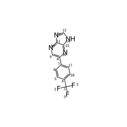 FC(F)(F)c1ccc(-c2cnc3nc[nH]c3n2)cc1